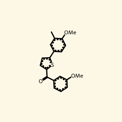 COc1cccc(C(=O)c2ccc(-c3ccc(OC)c(C)c3)s2)c1